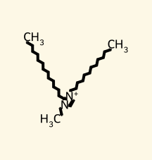 CCCCCCCCCCCCCCc1n(CCC)cc[n+]1CCCCCCCCCCCCC